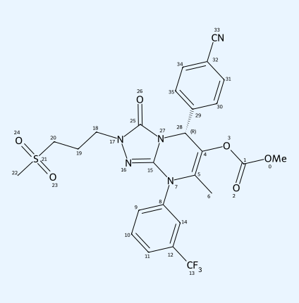 COC(=O)OC1=C(C)N(c2cccc(C(F)(F)F)c2)c2nn(CCCS(C)(=O)=O)c(=O)n2[C@@H]1c1ccc(C#N)cc1